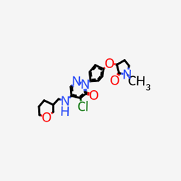 CN1CCC(Oc2ccc(-n3ncc(NCC4CCCOC4)c(Cl)c3=O)cc2)C1=O